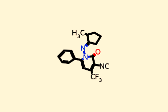 [C-]#[N+]c1c(C(F)(F)F)cc(-c2ccccc2)n(/N=C2\CCCC2C)c1=O